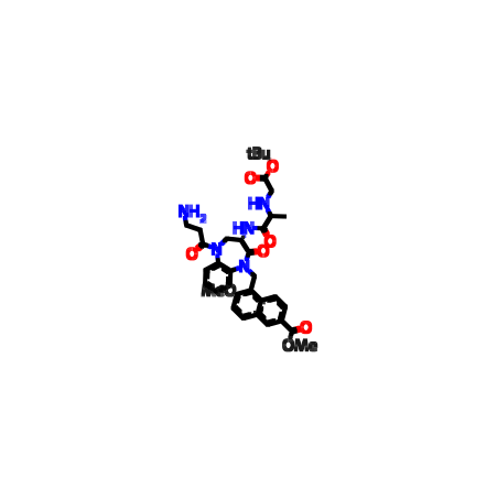 COC(=O)c1ccc2c(CN3C(=O)[C@@H](NC(=O)C(C)NCC(=O)OC(C)(C)C)CN(C(=O)CCN)c4ccccc43)c(OC)ccc2c1